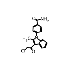 Cc1c(C(=O)CCl)c2ccccc2n1-c1ccc(C(N)=O)cc1